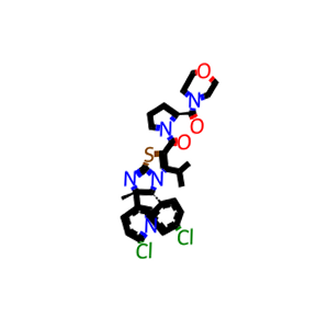 CC(C)C1=C(C(=O)N2CCC[C@H]2C(=O)N2CCOCC2)SC2=N[C@@](C)(c3ccc(Cl)nc3)[C@@H](c3ccc(Cl)cc3)N21